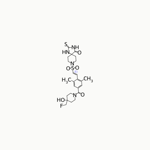 Cc1cc(C(=O)N2CCC(O)(CF)CC2)cc(C)c1/C=C/S(=O)(=O)N1CCC2(CC1)NC(=S)NC2=O